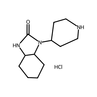 Cl.O=C1NC2CCCCC2N1C1CCNCC1